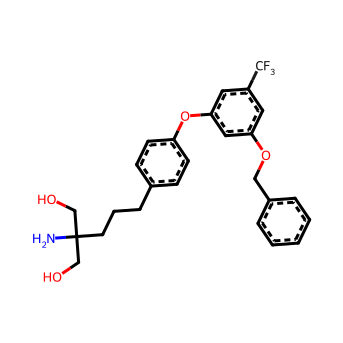 NC(CO)(CO)CCCc1ccc(Oc2cc(OCc3ccccc3)cc(C(F)(F)F)c2)cc1